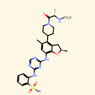 Cc1cc(Nc2ncnc(Nc3ccccc3S(=O)(=O)C(C)C)n2)c2c(c1C1CCN(C(=O)[C@H](C)NC(=O)O)CC1)C[C@@H](C)O2